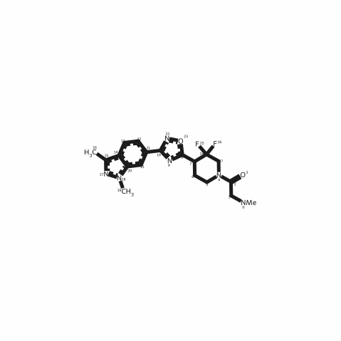 CNCC(=O)N1CCC(c2nc(-c3ccc4c(C)nn(C)c4c3)no2)C(F)(F)C1